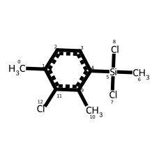 Cc1ccc([Si](C)(Cl)Cl)c(C)c1Cl